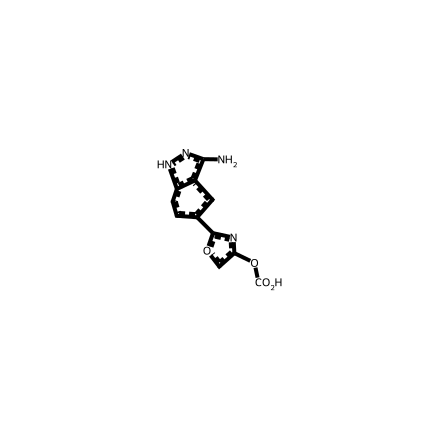 Nc1n[nH]c2ccc(-c3nc(OC(=O)O)co3)cc12